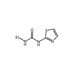 CCNC(=O)Nc1n[c]cs1